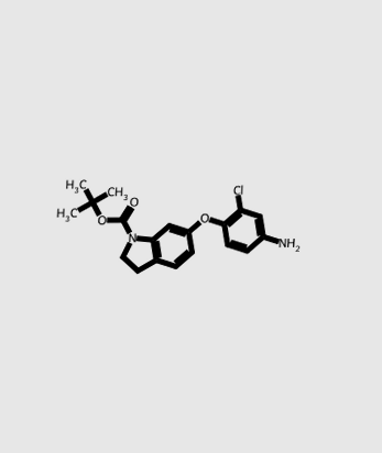 CC(C)(C)OC(=O)N1CCc2ccc(Oc3ccc(N)cc3Cl)cc21